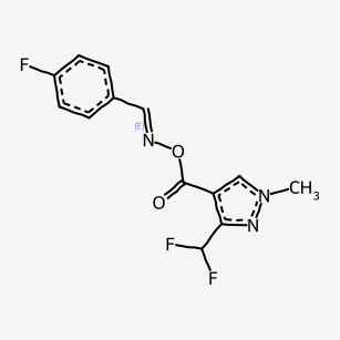 Cn1cc(C(=O)O/N=C/c2ccc(F)cc2)c(C(F)F)n1